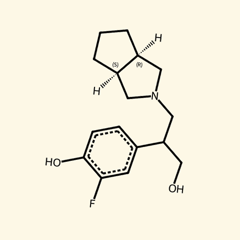 OCC(CN1C[C@H]2CCC[C@H]2C1)c1ccc(O)c(F)c1